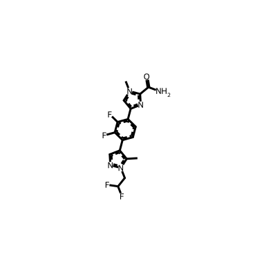 Cc1c(-c2ccc(-c3cn(C)c(C(N)=O)n3)c(F)c2F)cnn1CC(F)F